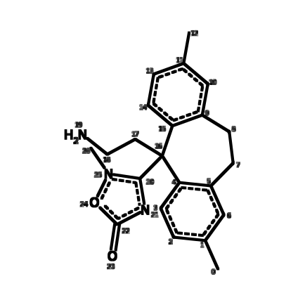 Cc1ccc2c(c1)CCc1cc(C)ccc1C2(CCN)c1nc(=O)on1C